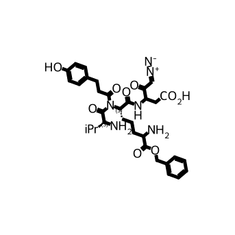 CC(C)[C@H](N)C(=O)N(C(=O)CCc1ccc(O)cc1)[C@@H](CCCC(N)C(=O)OCc1ccccc1)C(=O)NC(CC(=O)O)C(=O)C=[N+]=[N-]